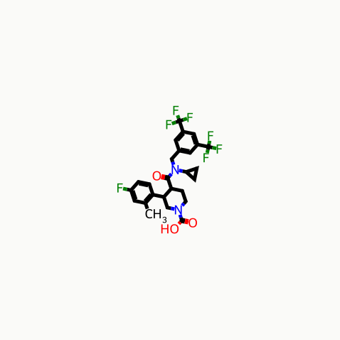 Cc1cc(F)ccc1C1CN(C(=O)O)CCC1C(=O)N(Cc1cc(C(F)(F)F)cc(C(F)(F)F)c1)C1CC1